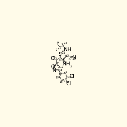 CC(C)C(C)Nc1sc(C(=O)c2cc(-c3ccc(Cl)c(Cl)c3)no2)c(N)c1C#N